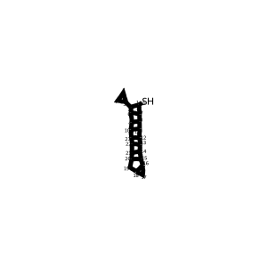 SC1C(C2CC2)C2C1C1C2C2C1C1C3C4C5C6CC6CC5C4C3C21